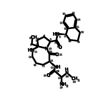 CCC12CCC(C(=O)N[C@@H]3CCCc4ccccc43)N1C(=O)[C@@H](NC(=O)[C@H](N)NC)CCCN2